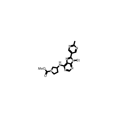 CCn1c(-c2cnc(C)nc2)nc2c(NC3CCN(C(=O)OC)C3)ncnc21